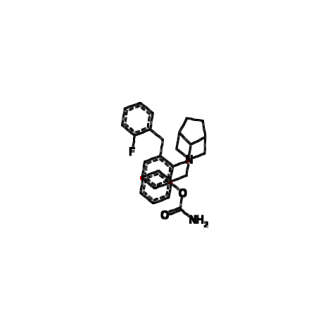 NC(=O)Oc1cccc(Cc2ccccc2F)c1CC1C2CCC1CN(Cc1ccccc1)C2